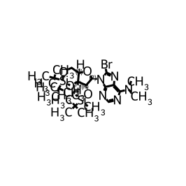 CN(C)c1ncnc2c1nc(Br)n2[C@@H]1O[C@@H]2CO[Si](C(C)(C)C)(C(C)(C)C)O[C@H]2[C@H]1O[Si](C)(C)C(C)(C)C